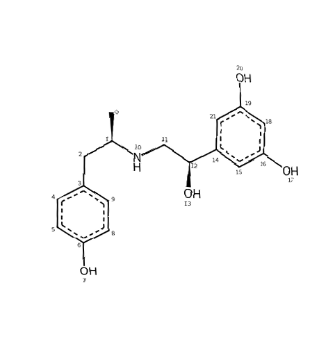 C[C@H](Cc1ccc(O)cc1)NC[C@H](O)c1cc(O)cc(O)c1